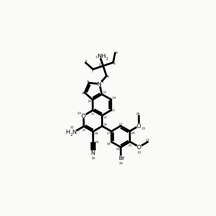 CCC(N)(CC)Cn1ccc2c3c(ccc21)C(c1cc(Br)c(OC)c(OC)c1)C(C#N)=C(N)O3